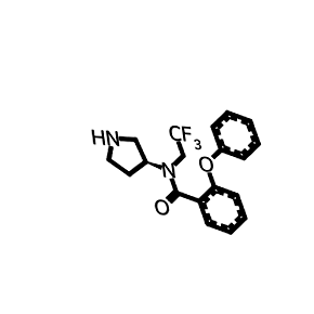 O=C(c1ccccc1Oc1ccccc1)N(CC(F)(F)F)[C@H]1CCNC1